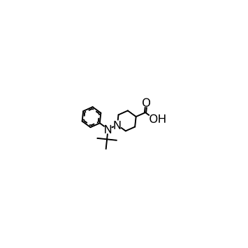 CC(C)(C)N(c1ccccc1)N1CCC(C(=O)O)CC1